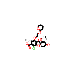 COC1=CC(=O)CC[C@]12Oc1c(Cl)c(C(=O)O)c(C)c(OCCOC3CCCCO3)c1C2=O